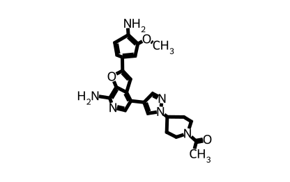 COc1cc(-c2cc3c(-c4cnn(C5CCN(C(C)=O)CC5)c4)cnc(N)c3o2)ccc1N